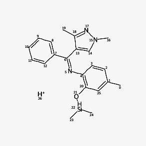 Cc1ccc(N=C(c2ccccc2)c2cn(C)nc2C)c(O[SiH](C)C)c1.[H+]